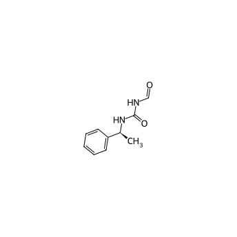 C[C@H](NC(=O)NC=O)c1ccccc1